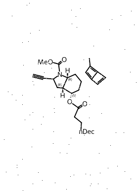 C#CC1C[C@H]2[C@@H](OC(=O)CCCCCCCCCCCC)CCC[C@H]2N1C(=O)OC.Cc1cc2ccc1-2